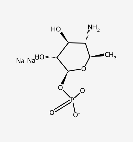 C[C@H]1O[C@@H](OP(=O)([O-])[O-])[C@H](O)[C@@H](O)[C@@H]1N.[Na+].[Na+]